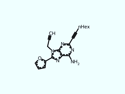 C#CCn1c(-c2ccco2)nc2c(N)nc(C#CCCCCCC)nc21